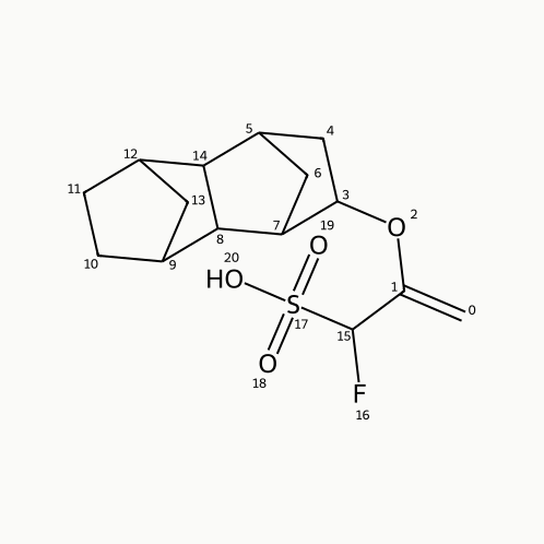 C=C(OC1CC2CC1C1C3CCC(C3)C21)C(F)S(=O)(=O)O